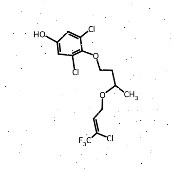 CC(CCOc1c(Cl)cc(O)cc1Cl)OCC=C(Cl)C(F)(F)F